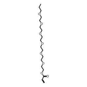 C=CC(=O)OCCOCCOCCOCCOCCOCCOCCC